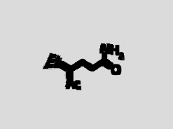 CCC(CC[C](=O)[AlH2])C(C)=O